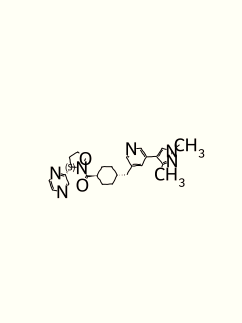 Cc1nn(C)cc1-c1cncc(C[C@H]2CC[C@H](C(=O)N3OCC[C@H]3c3cnccn3)CC2)c1